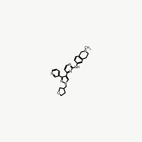 CN1CCc2cc(Nc3nccc(-c4cn(CC5CCOC5)nc4-c4cccnc4)n3)ccc2C1